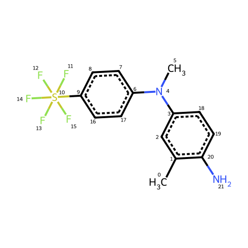 Cc1cc(N(C)c2ccc(S(F)(F)(F)(F)F)cc2)ccc1N